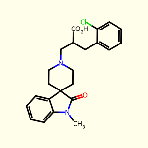 CN1C(=O)C2(CCN(CC(Cc3ccccc3Cl)C(=O)O)CC2)c2ccccc21